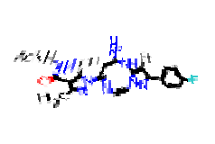 CCc1c(-c2ccc(F)cc2)nn2ccnc(-n3nc(C)c(C(=O)NNC(C)=O)c3C)cc(N)[nH]c12